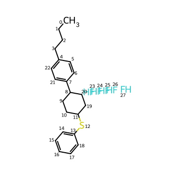 CCCCc1ccc(C2CCC(Sc3ccccc3)CC2)cc1.F.F.F.F.F